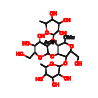 COC1OC(CO)C(OC2OC(C)C(O)C(O)C2O)C(OC2OC(CO)C(O)C(O)C2OC2OC(C)C(O)C(O)C2O)C1NC(C)=O